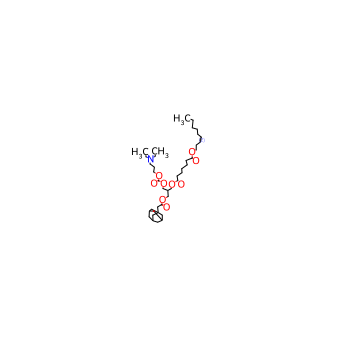 CCCCC/C=C\CCOC(=O)CCCCCC(=O)OCC(COC(=O)CC12CC3CC(CC(C3)C1)C2)COC(=O)OCCCN(CC)CC